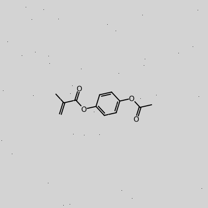 C=C(C)C(=O)Oc1ccc(OC(C)=O)cc1